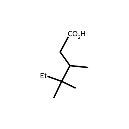 CCC(C)(C)C(C)CC(=O)O